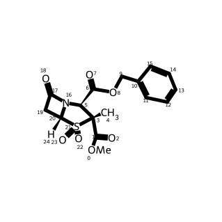 COC(=O)[C@@]1(C)[C@H](C(=O)OCc2ccccc2)N2C(=O)C[C@H]2S1(=O)=O